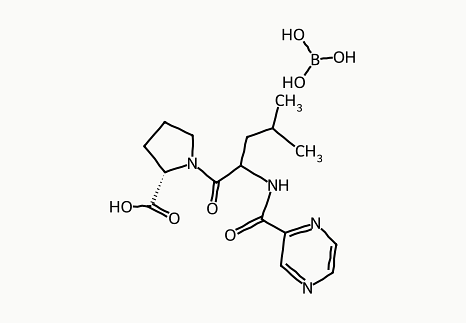 CC(C)CC(NC(=O)c1cnccn1)C(=O)N1CCC[C@H]1C(=O)O.OB(O)O